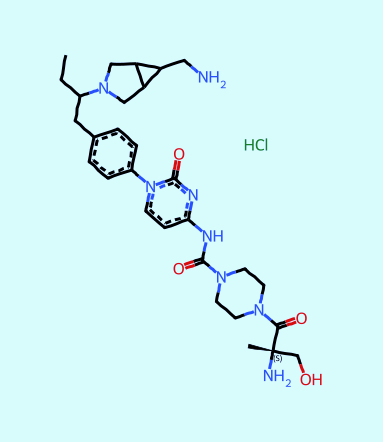 CCC(Cc1ccc(-n2ccc(NC(=O)N3CCN(C(=O)[C@@](C)(N)CO)CC3)nc2=O)cc1)N1CC2C(CN)C2C1.Cl